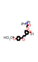 CCOc1cc(/C=C/C(=O)c2ccc(OCC(=O)O)cc2)ccc1OCC(=O)N(C(C)C)C(C)C